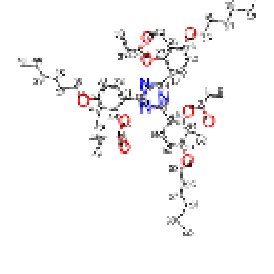 C=CC(=O)Oc1c(-c2nc(-c3ccc(OCCCCCC)c(C)c3OC(=O)C=C)nc(-c3ccc(OCCCCCC)c(C)c3OC(=O)C=C)n2)ccc(OCCCCCC)c1C